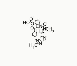 Cc1nc2cnccc2n1Cc1ccc(C(=O)c2cn(C(=O)N(C)C)c3cccc(OC(=O)O)c23)cc1